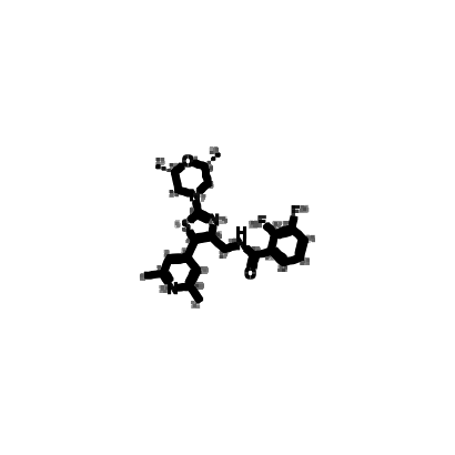 Cc1cc(-c2sc(N3C[C@@H](C)O[C@@H](C)C3)nc2CNC(=O)c2cccc(F)c2F)cc(C)n1